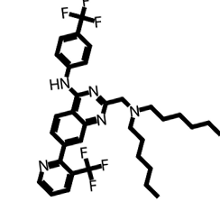 CCCCCCN(CCCCCC)Cc1nc(Nc2ccc(C(F)(F)F)cc2)c2ccc(-c3ncccc3C(F)(F)F)cc2n1